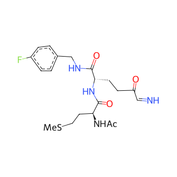 CSCC[C@H](NC(C)=O)C(=O)N[C@@H](CCC(=O)C=N)C(=O)NCc1ccc(F)cc1